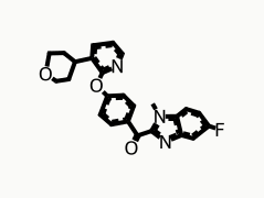 Cn1c(C(=O)c2ccc(Oc3ncccc3C3CCOCC3)cc2)nc2cc(F)ccc21